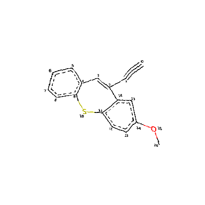 C#CC1=Cc2ccccc2Sc2ccc(OC)cc21